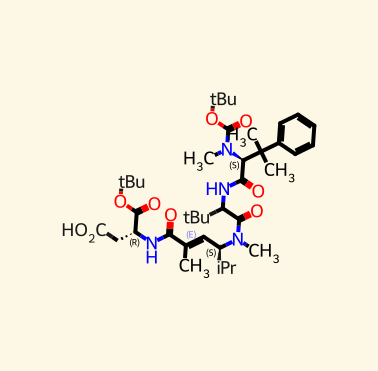 C/C(=C\[C@H](C(C)C)N(C)C(=O)C(NC(=O)[C@@H](N(C)C(=O)OC(C)(C)C)C(C)(C)c1ccccc1)C(C)(C)C)C(=O)N[C@H](CC(=O)O)C(=O)OC(C)(C)C